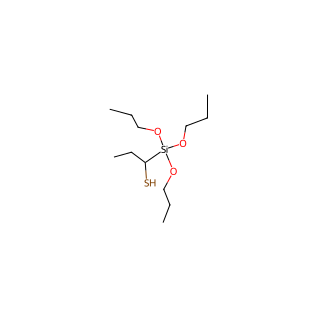 CCCO[Si](OCCC)(OCCC)C(S)CC